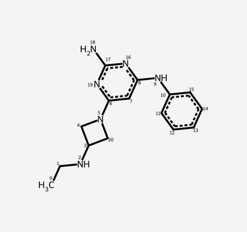 CCNC1CN(c2cc(Nc3ccccc3)nc(N)n2)C1